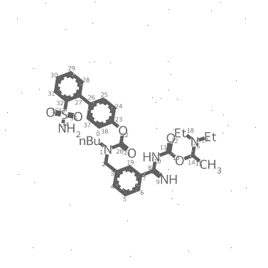 CCCCN(Cc1cccc(C(=N)NC(=O)OC(C)N(CC)CC)c1)C(=O)Oc1ccc(-c2ccccc2S(N)(=O)=O)cc1